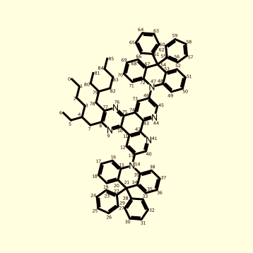 CCCCC(CC)Cc1nc2c3cc(N4c5ccccc5C(c5ccccc5)(c5ccccc5)c5ccccc54)cnc3c3ncc(N4c5ccccc5C(c5ccccc5)(c5ccccc5)c5ccccc54)cc3c2nc1CC(CC)CCCC